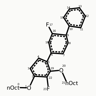 CCCCCCCCOc1ccc(-c2ccc(-c3ccccc3)c(F)c2)c(OCCCCCCCC)c1F